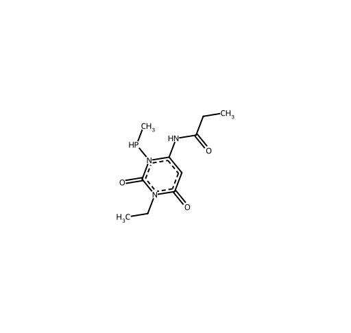 CCC(=O)Nc1cc(=O)n(CC)c(=O)n1PC